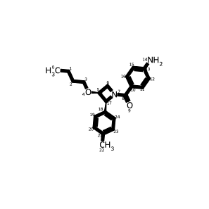 CCCCO[C@H]1CN(C(=O)c2ccc(N)cc2)[C@H]1c1ccc(C)cc1